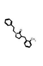 Cc1ccccc1CC1CCN(CCc2ccccc2)C1=O